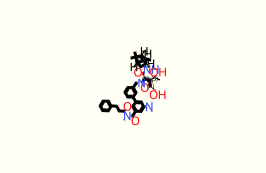 C[C@@H]1[C@@H](NC(=O)[C@@H]2[C@H]([C@H](C)O)[C@H](CO)ON2Cc2cccc(-c3cc(C(=O)N(C)C(=O)CCc4ccccc4)cc(N(C)C)c3)c2)C[C@H]2C[C@@H]1C2(C)C